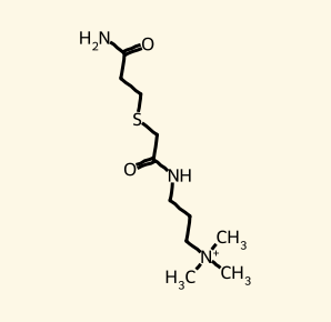 C[N+](C)(C)CCCNC(=O)CSCCC(N)=O